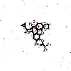 CCN(CC)C(=O)Oc1c(Br)cc2c3c1O[C@H]1C4(CC[C@@]5(O)[C@@H](C2O)N(CC2CC2)CC[C@]315)OCCO4